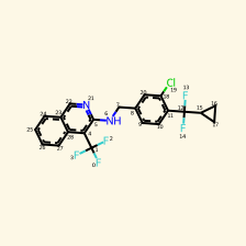 FC(F)(F)c1c(NCc2ccc(C(F)(F)C3CC3)c(Cl)c2)ncc2ccccc12